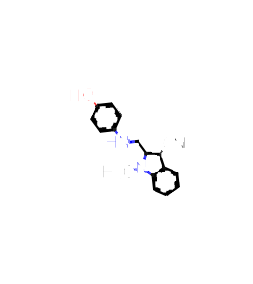 CN1c2ccccc2C(C#N)C1CNc1ccc(O)cc1